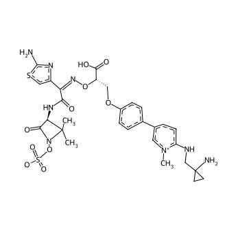 C[n+]1cc(-c2ccc(OC[C@H](O/N=C(\C(=O)N[C@@H]3C(=O)N(OS(=O)(=O)[O-])C3(C)C)c3csc(N)n3)C(=O)O)cc2)ccc1NCC1(N)CC1